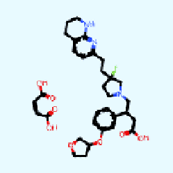 O=C(O)/C=C\C(=O)O.O=C(O)CC(CN1CCC(F)(CCc2ccc3c(n2)NCCC3)C1)c1cccc(OC2CCOC2)c1